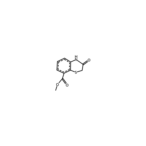 COC(=O)c1cccc2c1SCC(=O)N2